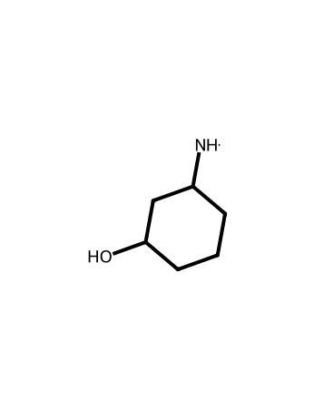 [NH]C1CCCC(O)C1